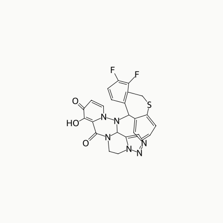 O=C1c2c(O)c(=O)ccn2N(C2c3ccccc3SCc3c2ccc(F)c3F)C2c3cnnn3CCN12